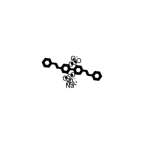 O=S(=O)([O-])c1cc(C=Cc2ccccc2)ccc1-c1ccc(C=Cc2ccccc2)cc1S(=O)(=O)[O-].[Na+].[Na+]